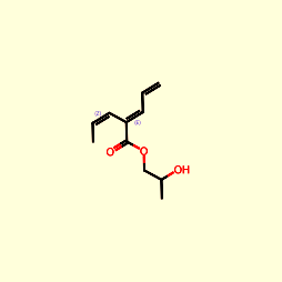 C=C/C=C(\C=C/C)C(=O)OCC(C)O